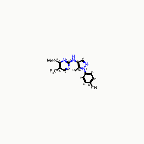 CNc1nc(Nc2cnn(-c3ccc(C#N)cc3)c2C)ncc1C(F)(F)F